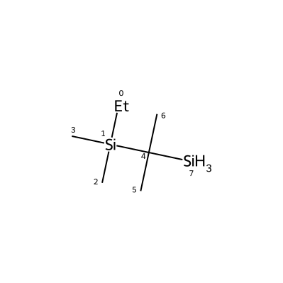 CC[Si](C)(C)C(C)(C)[SiH3]